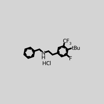 CC(C)(C)c1c(F)cc(CCNCc2ccccc2)cc1C(F)(F)F.Cl